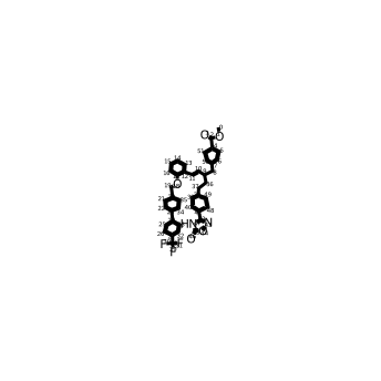 COC(=O)c1ccc(CC(/C=C/c2ccccc2OCc2ccc(-c3ccc(C(F)(F)F)cc3)cc2)CCc2ccc(-c3noc(=O)[nH]3)cc2)cc1